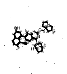 C#Cc1c(F)ccc2cc(O)cc(-c3ccc4c(N5C[C@H]6CC[C@@H](C5)S6(=O)=O)nc(OC[C@@]56CCCN5C[C@H](F)C6)nc4c3F)c12